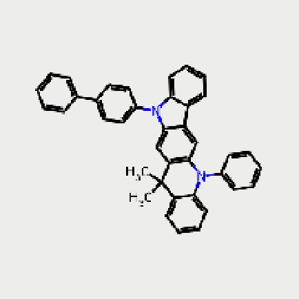 CC1(C)c2ccccc2N(c2ccccc2)c2cc3c4ccccc4n(-c4ccc(-c5ccccc5)cc4)c3cc21